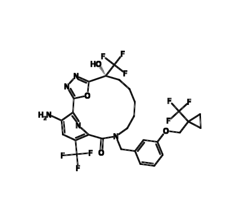 Nc1cc(C(F)(F)F)c2nc1-c1nnc(o1)[C@@](O)(C(F)(F)F)CCCCCN(Cc1cccc(OCC3(C(F)(F)F)CC3)c1)C2=O